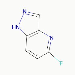 Fc1ccc2[nH]ncc2n1